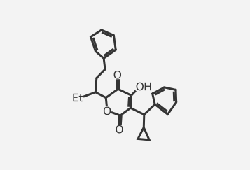 CCC(CCc1ccccc1)C1OC(=O)C(C(c2ccccc2)C2CC2)=C(O)C1=O